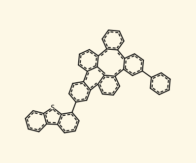 c1ccc(-c2ccc3c4ccccc4c4cccc5c6ccc(-c7cccc8c7sc7ccccc78)cc6c6cccc(c3c2)c6c45)cc1